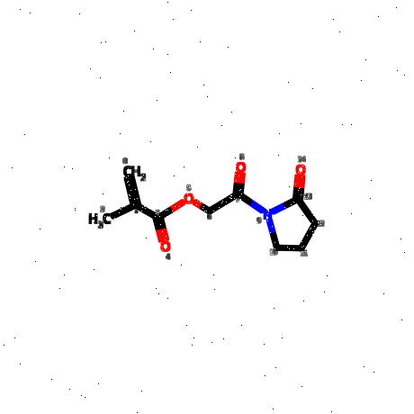 C=C(C)C(=O)OCC(=O)N1CCCC1=O